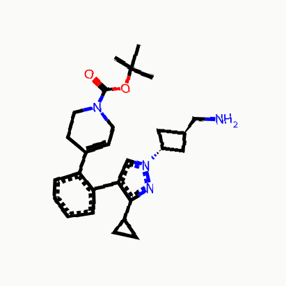 CC(C)(C)OC(=O)N1CC=C(c2ccccc2-c2cn([C@H]3C[C@H](CN)C3)nc2C2CC2)CC1